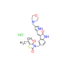 CC(C)=C1SC(=O)N(Cc2ccc3c(c2)/C(=C/c2cc(CN4CCOCC4)c[nH]2)C(=O)N3)C1=O.Cl